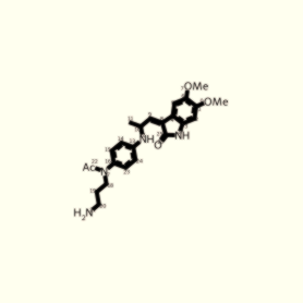 COc1cc2c(cc1OC)C(=CC(C)Nc1ccc(N(CCCN)C(C)=O)cc1)C(=O)N2